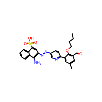 CCCCOc1c(C=O)cc(C)cc1-c1ccc(/N=N/c2cc(S(=O)(=O)O)c3ccccc3c2N)cn1